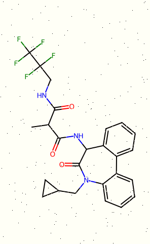 CC(C(=O)NCC(F)(F)C(F)(F)F)C(=O)NC1C(=O)N(CC2CC2)c2ccccc2-c2ccccc21